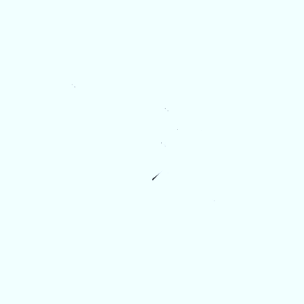 CC[C@H](COC(C)=O)n1c(=O)[nH]c2cc(C#N)ccc21